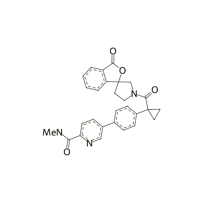 CNC(=O)c1ccc(-c2ccc(C3(C(=O)N4CCC5(C4)OC(=O)c4ccccc45)CC3)cc2)cn1